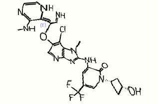 CNC1=NC=CN/C1=C(\C=N)Oc1cnc2nc(Nc3cc(C(F)(F)F)cn([C@H]4C[C@@H](O)C4)c3=O)n(C)c2c1Cl